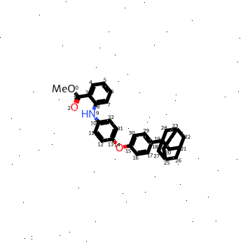 COC(=O)c1ccccc1Nc1ccc(Oc2ccc(C34CC5CC(CC(C5)C3)C4)cc2)cc1